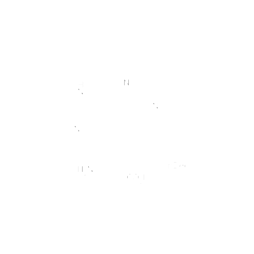 CCCCCCCCCCCCN1C=CN(C)C1.NC(Cc1c[nH]cn1)C(=O)O